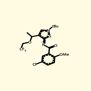 COc1ccc(Cl)cc1C(=O)/N=c1\sn(C(C)(C)C)cc1C(C)OCC(F)(F)F